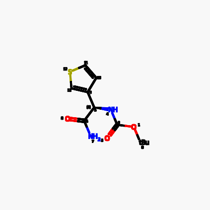 CC(C)(C)OC(=O)N[C@@H](C(N)=O)c1ccsc1